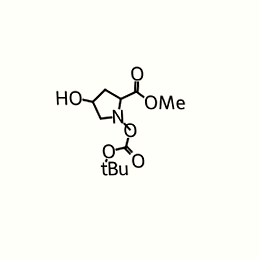 COC(=O)C1CC(O)CN1OC(=O)OC(C)(C)C